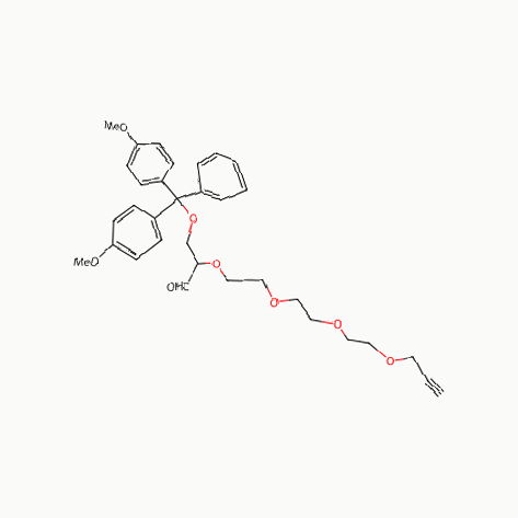 C#CCOCCOCCOCCOC(C=O)COC(c1ccccc1)(c1ccc(OC)cc1)c1ccc(OC)cc1